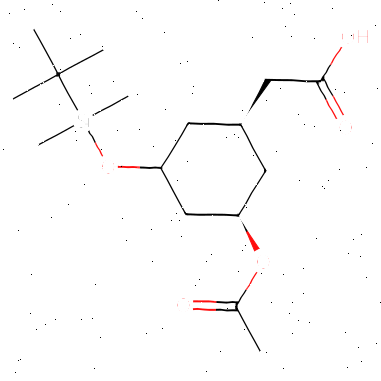 CC(=O)O[C@H]1CC(O[Si](C)(C)C(C)(C)C)C[C@@H](CC(=O)O)C1